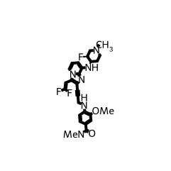 CNC(=O)c1ccc(NCC#Cc2nc3c(N[C@@H]4CCN(C)C[C@@H]4F)cccn3c2C=C(F)F)c(OC)c1